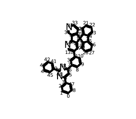 c1ccc(-c2cc(-c3cccc(-c4cnc5c(c4)C4(c6ccccc6-c6ccccc64)c4ccncc4-5)c3)nc(-c3ccccc3)n2)cc1